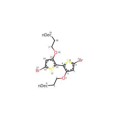 CCCCCCCCCCCCOc1cc(Br)sc1-c1sc(Br)cc1OCCCCCCCCCCCC